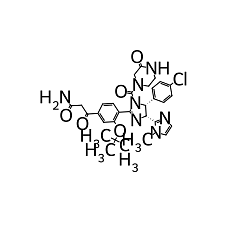 Cn1ccnc1[C@@H]1N=C(c2ccc(C(=O)CC(N)=O)cc2OC(C)(C)C)N(C(=O)N2CCNC(=O)C2)[C@@H]1c1ccc(Cl)cc1